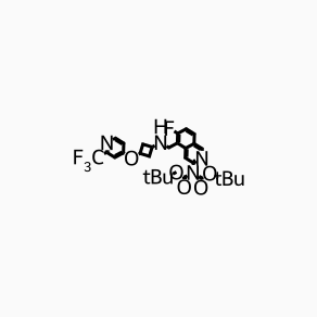 CC(C)(C)OC(=O)N(C(=O)OC(C)(C)C)c1cc2c(CNC3CC(Oc4ccnc(C(F)(F)F)c4)C3)c(F)ccc2cn1